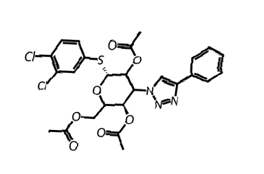 CC(=O)OCC1O[C@H](Sc2ccc(Cl)c(Cl)c2)C(OC(C)=O)C(n2cc(-c3ccccc3)nn2)[C@H]1OC(C)=O